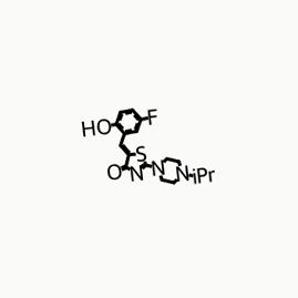 CC(C)N1CCN(C2=NC(=O)C(=Cc3cc(F)ccc3O)S2)CC1